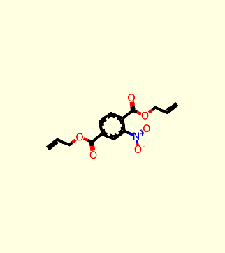 C=CCOC(=O)c1ccc(C(=O)OCC=C)c([N+](=O)[O-])c1